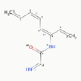 C=C/C=C\C=C(/C=C)NC(=O)C=N